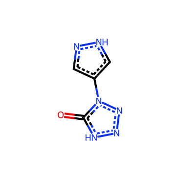 O=c1[nH]nnn1-c1cn[nH]c1